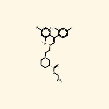 CCOC(=O)[C@@H]1CCCN(CCOC=C(c2ccc(F)cc2C)c2ccc(F)cc2C)C1